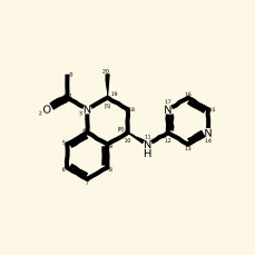 CC(=O)N1c2ccccc2[C@H](Nc2cnccn2)C[C@@H]1C